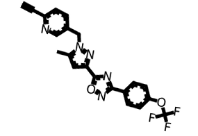 C#Cc1ccc(Cn2nc(-c3nc(-c4ccc(OC(F)(F)F)cc4)no3)cc2C)cn1